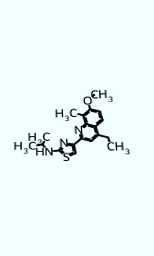 CCc1cc(-c2csc(NC(C)C)n2)nc2c(C)c(OC)ccc12